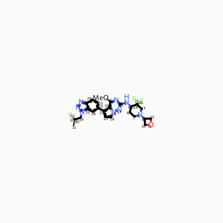 COc1nc(N[C@@H]2CCN(C3COC3)CC2(F)F)nn2ccc(-c3ccc4nnn(C[C@@H](C)F)c4c3)c12